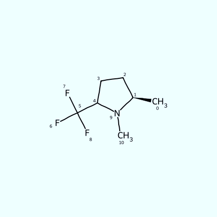 C[C@@H]1CCC(C(F)(F)F)N1C